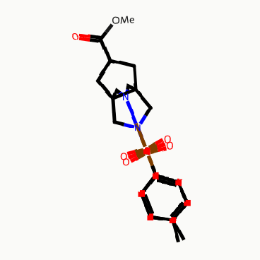 COC(=O)C1CC23CN(S(=O)(=O)c4ccc(C)cc4)CC2(C1)CN(S(=O)(=O)c1ccc(C)cc1)C3